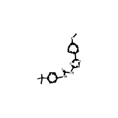 COc1ccc(-c2nnc(NC(=O)Nc3ccc(C(C)(C)C)cc3)o2)cc1